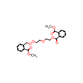 COC(=O)c1ccccc1COOCCOCCOC(=O)c1ccccc1C(=O)OC